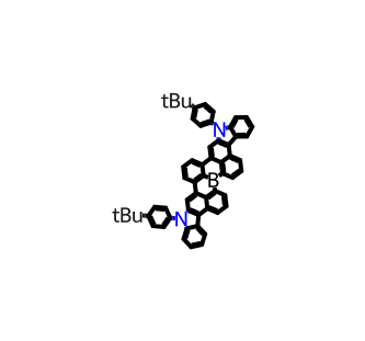 CC(C)(C)c1ccc(-n2c3ccccc3c3c4cccc5c4c(cc32)-c2cccc3c2B5c2cccc4c2c-3cc2c4c3ccccc3n2-c2ccc(C(C)(C)C)cc2)cc1